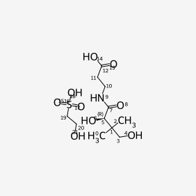 CC(C)(CO)[C@@H](O)C(=O)NCCC(=O)O.O=S(=O)(O)CCO